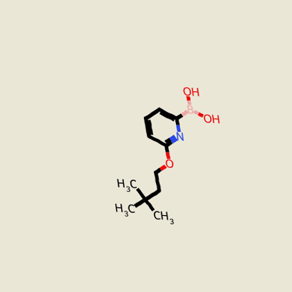 CC(C)(C)CCOc1cccc(B(O)O)n1